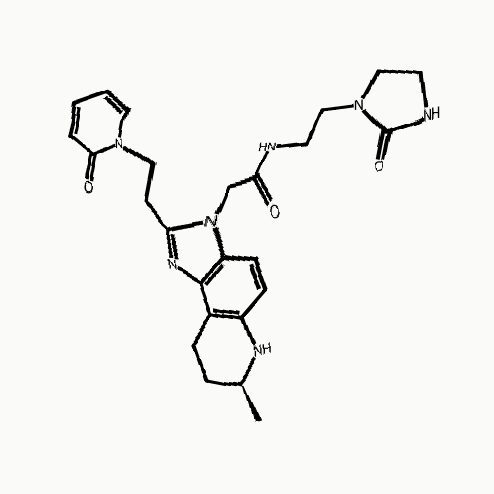 C[C@H]1CCc2c(ccc3c2nc(CCn2ccccc2=O)n3CC(=O)NCCN2CCNC2=O)N1